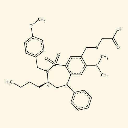 CCCC[C@@H]1CN(c2ccccc2)c2cc(N(C)C)c(CSCC(=O)O)cc2S(=O)(=O)N1Cc1ccc(OC)cc1